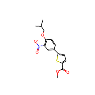 COC(=O)c1ccc(-c2ccc(OCC(C)C)c([N+](=O)[O-])c2)s1